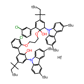 CC(C)(C)CC(C)(C)C1=CC(n2c3ccc(C(C)(C)C)cc3c3cc(C(C)(C)C)ccc32)C(O)(OCCCOc2c(Cl)cccc2-c2cc(C(C)(C)CC(C)(C)C)cc(-n3c4ccc(C(C)(C)C)cc4c4cc(C(C)(C)C)ccc43)c2O)C(c2cccc(Cl)c2)=C1.[Hf]